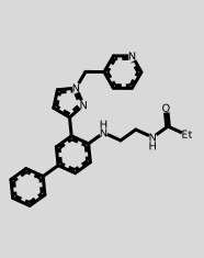 CCC(=O)NCCNc1ccc(-c2ccccc2)cc1-c1ccn(Cc2cccnc2)n1